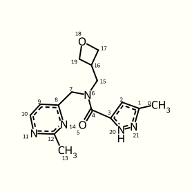 Cc1cc(C(=O)N(Cc2ccnc(C)n2)CC2COC2)[nH]n1